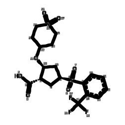 O=C(O)[C@H]1C[C@H](S(=O)(=O)c2ccccc2C(F)(F)F)C[C@@H]1OC1CCS(=O)(=O)CC1